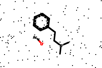 CC(=O)[O-].C[Si+](C)CCc1ccccc1